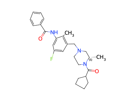 Cc1c(CN2CCN(C(=O)C3CCCC3)[C@@H](C)C2)cc(F)cc1NC(=O)c1ccccc1